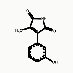 CC1=C(c2cccc(O)c2)C(=O)NC1=O